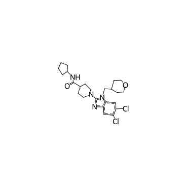 O=C(NC1CCCC1)C1CCN(c2nc3cc(Cl)c(Cl)cc3n2CC2CCOCC2)CC1